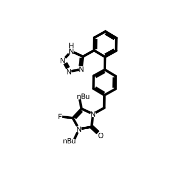 CCCCc1c(F)n(CCCC)c(=O)n1Cc1ccc(-c2ccccc2-c2nnn[nH]2)cc1